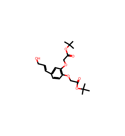 CC(C)(C)OC(=O)COc1ccc(C=CCO)cc1OCC(=O)OC(C)(C)C